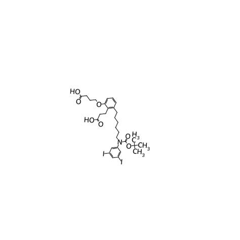 CC(C)(C)OC(=O)N(CCCCCCc1cccc(OCCCC(=O)O)c1CCC(=O)O)c1cc(I)cc(I)c1